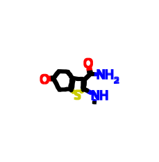 CNc1sc2c(c1C(N)=O)CCC(=O)C2